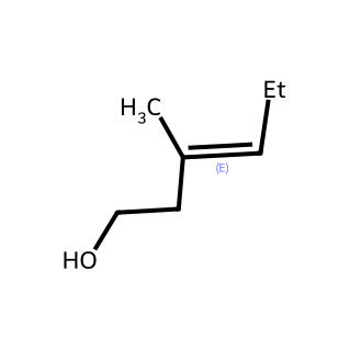 CC/C=C(\C)CCO